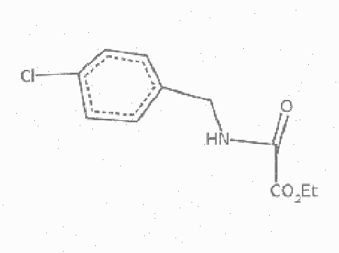 CCOC(=O)C(=O)NCc1ccc(Cl)cc1